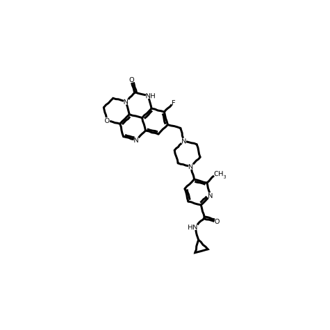 Cc1nc(C(=O)NC2CC2)ccc1N1CCN(Cc2cc3ncc4c5c3c(c2F)NC(=O)N5CCO4)CC1